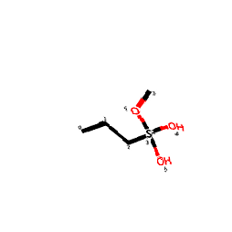 CCC[Si](O)(O)OC